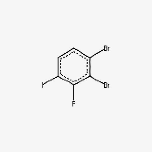 Fc1c(I)ccc(Br)c1Br